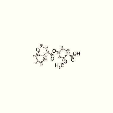 COc1cc(OC(=O)C2CCOc3ccccc32)ccc1C(=O)O